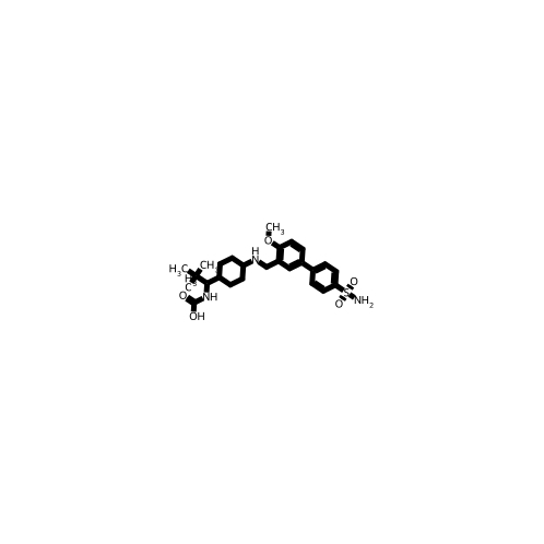 COc1ccc(-c2ccc(S(N)(=O)=O)cc2)cc1CNC1CCC(C(NC(=O)O)C(C)(C)C)CC1